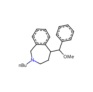 CCCCN1CCC(C(OC)c2ccccc2)c2ccccc2C1